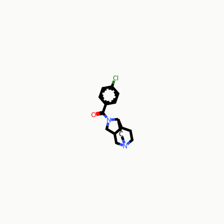 O=C(c1ccc(Cl)cc1)N1CC2CN3CCC2C1C3